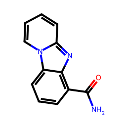 NC(=O)c1cccc2c1nc1ccccn12